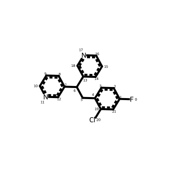 Fc1ccc(CC(c2cccnc2)c2cccnc2)c(Cl)c1